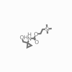 C[Si](C)(C)CCOC(=O)NC1(CO)CC1